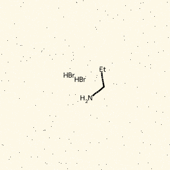 Br.Br.CCCN